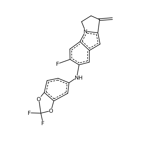 C=C1CCn2c1cc1cc(Nc3ccc4c(c3)OC(F)(F)O4)c(F)cc12